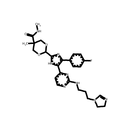 CNC(=O)C1(C)COC(c2nc(-c3ccc(F)cc3)c(-c3ccnc(NCCCN4C=NCC4)n3)[nH]2)OC1